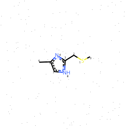 CSCc1nc(C)c[nH]1